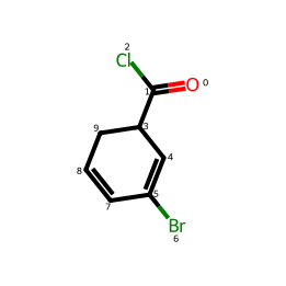 O=C(Cl)C1C=C(Br)C=CC1